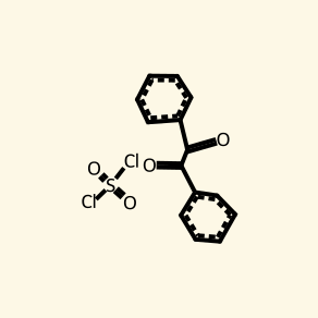 O=C(C(=O)c1ccccc1)c1ccccc1.O=S(=O)(Cl)Cl